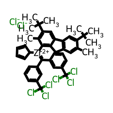 Cc1cc2c(cc1C(C)(C)C)-c1cc(C(C)(C)C)c(C)[c]([Zr+2](=[C](c3cccc(C(Cl)(Cl)Cl)c3)c3cccc(C(Cl)(Cl)Cl)c3)[CH]3C=CC=C3)c1C2.[Cl-].[Cl-]